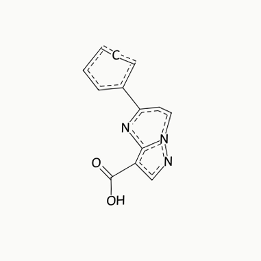 O=C(O)c1cnn2ccc(-c3ccccc3)nc12